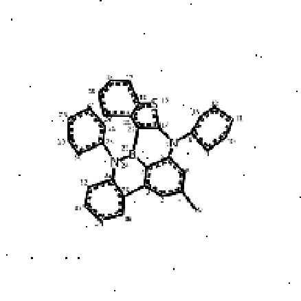 Cc1cc2c3c(c1)N(c1ccccc1)c1sc4ccccc4c1B3N(c1ccccc1)c1ccccc1-2